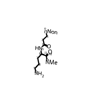 CCCCCCCCCCCC(=O)NC(CCCN)C(=O)NC